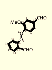 COc1cc(C=O)ccc1OOc1ccccc1C=O